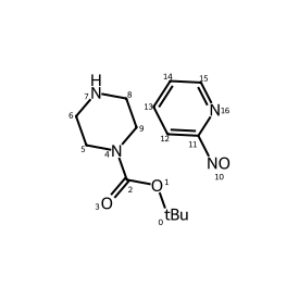 CC(C)(C)OC(=O)N1CCNCC1.O=Nc1ccccn1